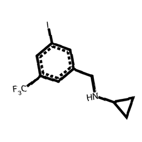 FC(F)(F)c1cc(I)cc(CNC2CC2)c1